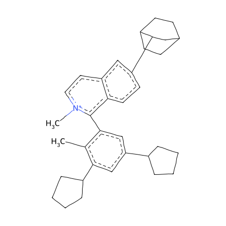 Cc1c(-c2c3ccc(C4CC5CCC4CC5)cc3cc[n+]2C)cc(C2CCCC2)cc1C1CCCC1